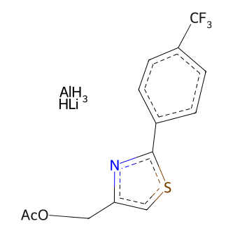 CC(=O)OCc1csc(-c2ccc(C(F)(F)F)cc2)n1.[AlH3].[LiH]